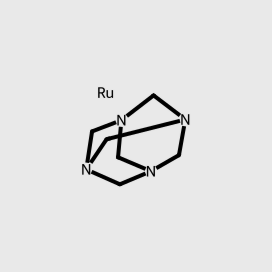 C1N2CN3CN1CN(C2)C3.[Ru]